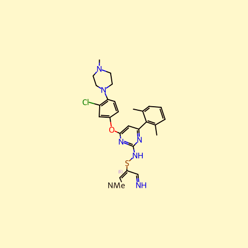 CN/C=C(\C=N)SNc1nc(Oc2ccc(N3CCN(C)CC3)c(Cl)c2)cc(-c2c(C)cccc2C)n1